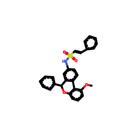 COc1cccc2c1-c1ccc(NS(=O)(=O)C=Cc3ccccc3)cc1C(c1ccccc1)O2